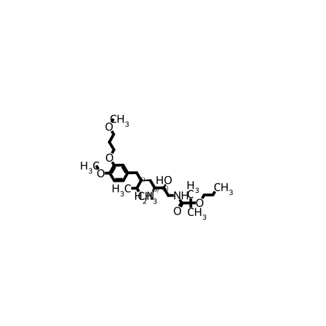 CCCOC(C)(C)C(=O)NC[C@H](O)[C@@H](N)C[C@H](Cc1ccc(OC)c(OCCCOC)c1)C(C)C